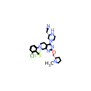 CN1CCC[C@H]1COc1nc2c(c(N3CCN[C@@H](CC#N)C3)n1)CCN(c1cccc(Cl)c1C(F)(F)F)C2